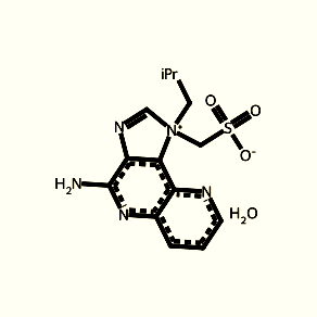 CC(C)C[N+]1(CS(=O)(=O)[O-])C=Nc2c(N)nc3cccnc3c21.O